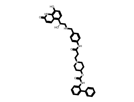 O=C(CCN1CCC(OC(=O)Nc2ccccc2-c2ccccc2)CC1)Nc1ccc(CNC[C@H](O)c2ccc(O)c3[nH]c(=O)ccc23)cc1